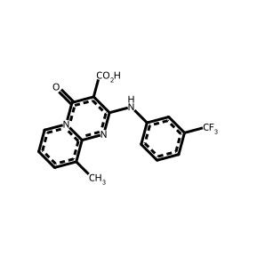 Cc1cccn2c(=O)c(C(=O)O)c(Nc3cccc(C(F)(F)F)c3)nc12